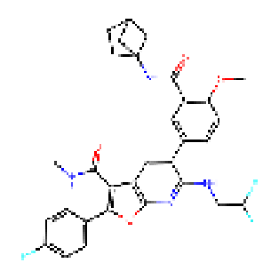 CNC(=O)c1c(-c2ccc(F)cc2)oc2nc(NCC(F)F)c(-c3ccc(OC)c(C(=O)NC45CCC(C4)C5)c3)cc12